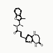 Cc1c([C@@H](C)N(C)C(=O)C=Cc2cnc3c(c2)NCCC(=O)N3)oc2ccccc12